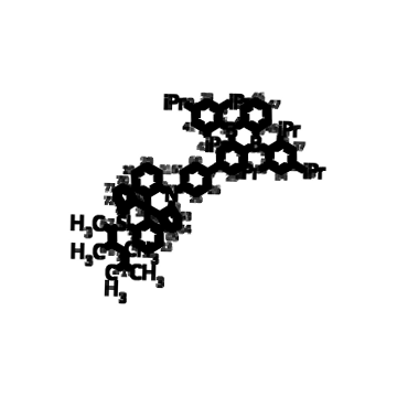 CC(C)=C(C)/C(C)=C(/C)[SiH]1c2ccccc2C2(c3ccccc3N(c3ccc(-c4ccc5c(c4)B(c4c(C(C)C)cc(C(C)C)cc4C(C)C)c4ccccc4B5c4c(C(C)C)cc(C(C)C)cc4C(C)C)cc3)c3ccccc32)c2ccccc21